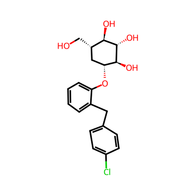 OC[C@H]1C[C@@H](Oc2ccccc2Cc2ccc(Cl)cc2)[C@H](O)[C@@H](O)[C@@H]1O